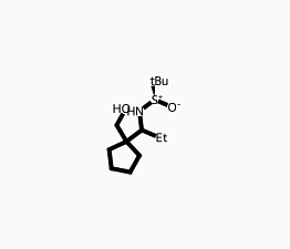 CCC(N[S@+]([O-])C(C)(C)C)C1(CO)CCCC1